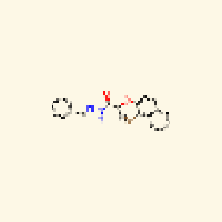 CCC(Oc1ccc2ccccc2c1Br)C(=O)NN=Cc1ccccc1